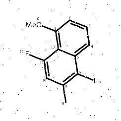 COc1cccc2c(I)c(C)cc(F)c12